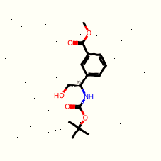 COC(=O)c1cccc([C@H](CO)NC(=O)OC(C)(C)C)c1